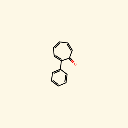 O=c1cccccc1-c1ccccc1